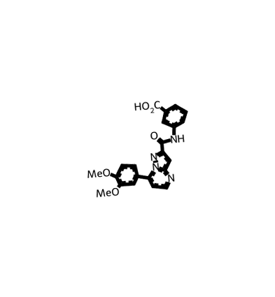 COc1ccc(-c2ccnc3cc(C(=O)Nc4cccc(C(=O)O)c4)nn23)cc1OC